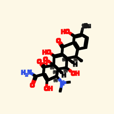 C[C@@H]1c2ccc(C(C)(C)C)c(O)c2C(=O)C2=C(O)[C@@]3(O)C(=O)C(C(N)=O)=C(O)[C@H](N(C)C)[C@H]3[C@H](O)[C@H]21